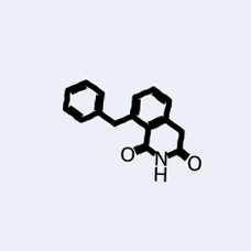 O=C1Cc2cccc(Cc3ccccc3)c2C(=O)N1